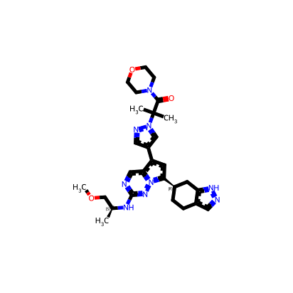 COC[C@H](C)Nc1ncc2c(-c3cnn(C(C)(C)C(=O)N4CCOCC4)c3)cc([C@@H]3CCc4cn[nH]c4C3)n2n1